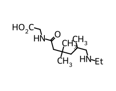 CCNCC(C)CC(C)(C)CC(=O)NCC(=O)O